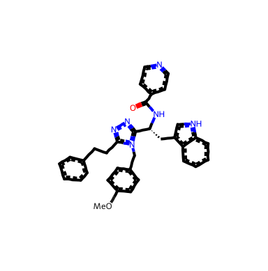 COc1ccc(Cn2c(CCc3ccccc3)nnc2[C@@H](Cc2c[nH]c3ccccc23)NC(=O)c2ccncc2)cc1